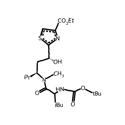 CCOC(=O)c1csc([C@H](O)C[C@H](C(C)C)N(C)C(=O)C(NC(=O)OC(C)(C)C)C(C)CC)n1